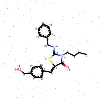 CCCCN1C(=O)/C(=C/c2ccc(CO)cc2)S/C1=N\Cc1ccccc1